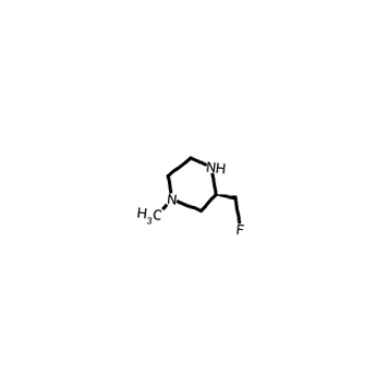 CN1CCN[C@@H](CF)C1